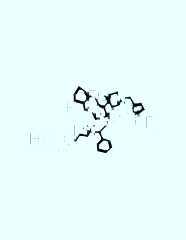 O=C(O)CCCNC(Cn1c(=O)c2c(n(Cc3c(F)cccc3F)c1=O)COC21CCN(Cc2ccc(C(F)(F)F)o2)CC1)c1ccccc1